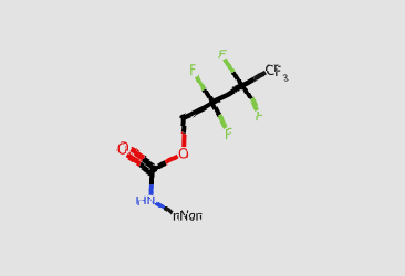 CCCCCCCCCNC(=O)OCC(F)(F)C(F)(F)C(F)(F)F